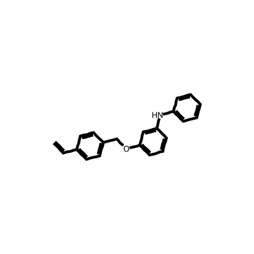 C=Cc1ccc(COc2cccc(Nc3ccccc3)c2)cc1